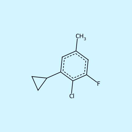 Cc1cc(F)c(Cl)c(C2CC2)c1